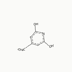 O=[C]c1cc(O)nc(O)c1